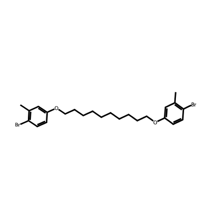 Cc1cc(OCCCCCCCCCCOc2ccc(Br)c(C)c2)ccc1Br